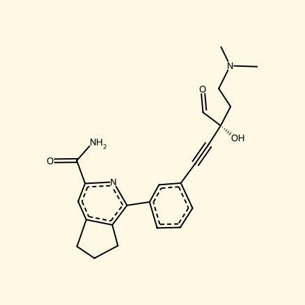 CN(C)CC[C@@](O)(C#Cc1cccc(-c2nc(C(N)=O)cc3c2CCC3)c1)C=O